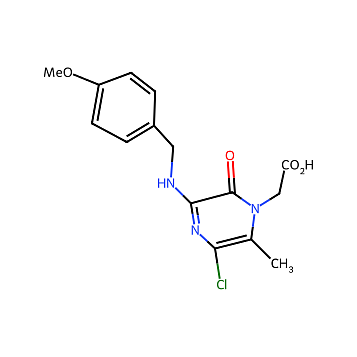 COc1ccc(CNc2nc(Cl)c(C)n(CC(=O)O)c2=O)cc1